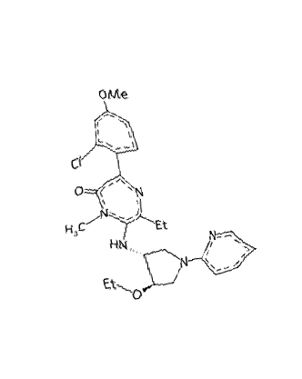 CCO[C@@H]1CN(c2ccccn2)C[C@H]1Nc1c(CC)nc(-c2ccc(OC)cc2Cl)c(=O)n1C